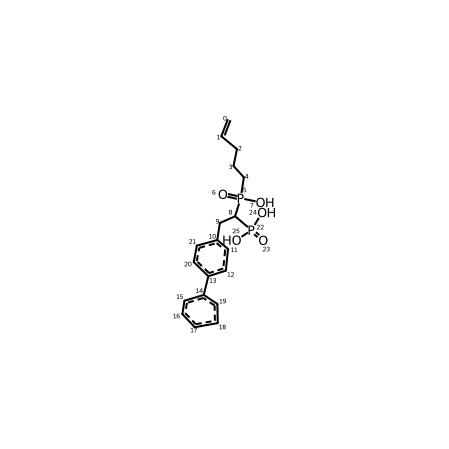 C=CCCCP(=O)(O)C(Cc1ccc(-c2ccccc2)cc1)P(=O)(O)O